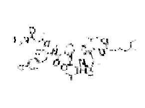 CC[C@H](C)CCCC(=O)O[C@H](C(=O)[C@H](C)C(=O)N[C@@H](CC(C)C)C(=O)N1CCC[C@H]1C(=O)N(C)[C@@H](Cc1ccc(OC)cc1)C(=O)O[C@H](C)CC(N)=O)C(C)C